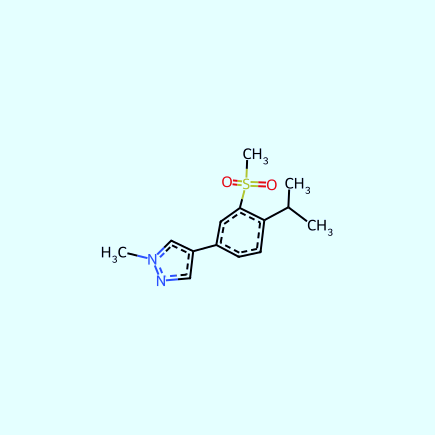 CC(C)c1ccc(-c2cnn(C)c2)cc1S(C)(=O)=O